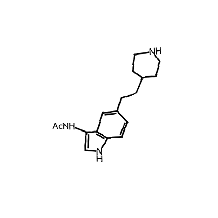 CC(=O)Nc1c[nH]c2ccc(CCC3CCNCC3)cc12